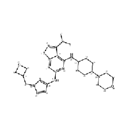 CC(C)c1nsc2nc(Nc3cnn(CC4COC4)c3)nc(NC3CCC(N4CCOCC4)CC3)c12